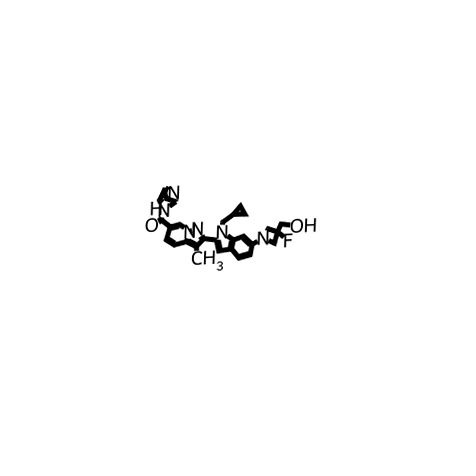 Cc1c(-c2cc3ccc(N4CC(F)(CO)C4)cc3n2CC2CC2)nn2cc(C(=O)N3CC4[C@@H]5C3N45)ccc12